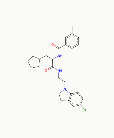 Cc1cccc(C(=O)NC(CC2CCCC2)C(=O)NCCN2CCc3cc(F)ccc32)c1